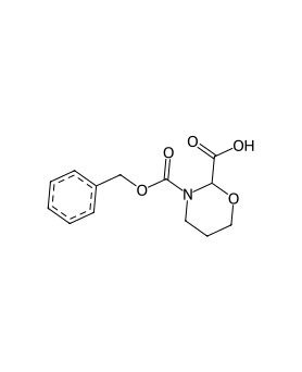 O=C(O)C1OCCCN1C(=O)OCc1ccccc1